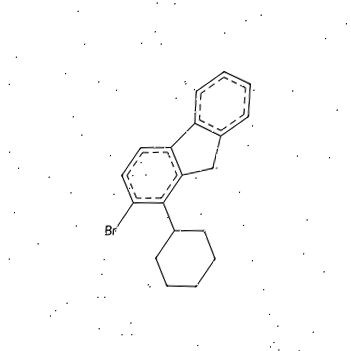 Brc1ccc2c(c1C1CCCCC1)[CH]c1ccccc1-2